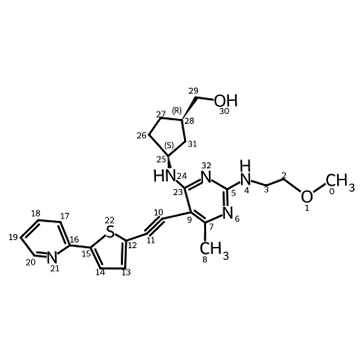 COCCNc1nc(C)c(C#Cc2ccc(-c3ccccn3)s2)c(N[C@H]2CC[C@@H](CO)C2)n1